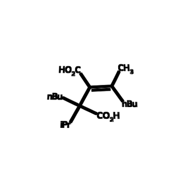 CCCCC(C)=C(C(=O)O)C(CCCC)(C(=O)O)C(C)C